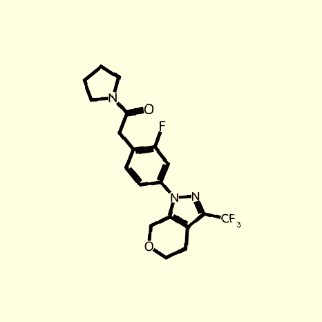 O=C(Cc1ccc(-n2nc(C(F)(F)F)c3c2COCC3)cc1F)N1CCCC1